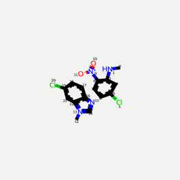 CNc1cc(Cl)ccc1[N+](=O)[O-].Cn1cnc2ccc(Cl)cc21